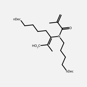 C=C(C)C(=O)N(CCCCCCCCCCCCCC)C(CCCCCCCCCCCCCC)=C(C)C(=O)O